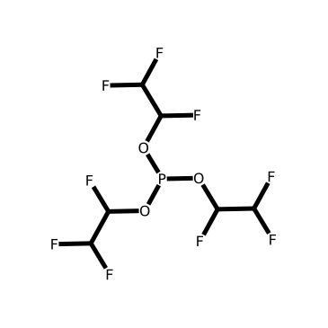 FC(F)C(F)OP(OC(F)C(F)F)OC(F)C(F)F